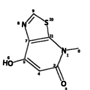 Cn1c(=O)cc(O)c2ncsc21